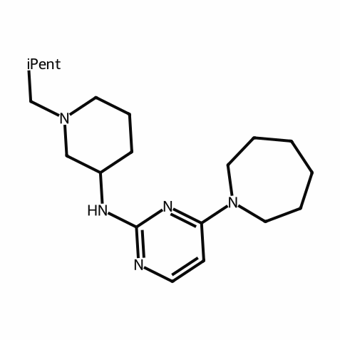 CCCC(C)CN1CCCC(Nc2nccc(N3CCCCCC3)n2)C1